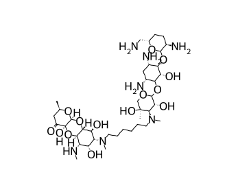 CN[C@H]1[C@@H](O)[C@@H](N(C)CCCCCCN(C)[C@@H]2[C@@H](O)C(OC3[C@@H](O)C(OC4O[C@H](CN)CC[C@H]4N)[C@@H](N)C[C@H]3N)OC[C@]2(C)O)[C@H](O)[C@H]2O[C@@H]3O[C@H](C)CC(=O)[C@]3(O)O[C@H]12